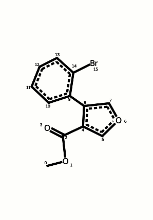 COC(=O)c1cocc1-c1ccccc1Br